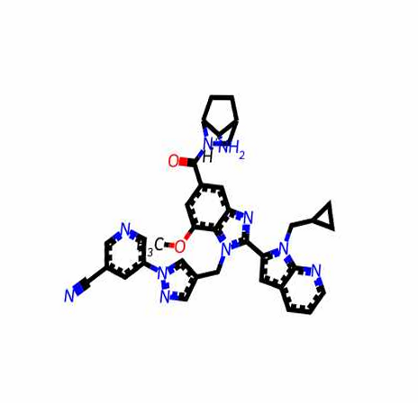 COc1cc(C(=O)N2CC3CCC2[C@@H]3N)cc2nc(-c3cc4cccnc4n3CC3CC3)n(Cc3cnn(-c4cncc(C#N)c4)c3)c12